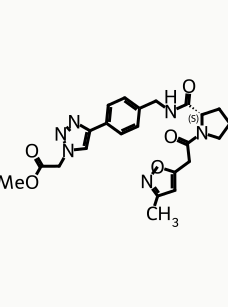 COC(=O)Cn1cc(-c2ccc(CNC(=O)[C@@H]3CCCN3C(=O)Cc3cc(C)no3)cc2)nn1